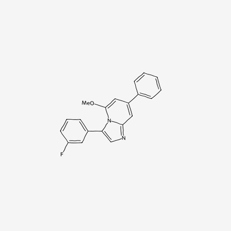 COc1cc(-c2ccccc2)cc2ncc(-c3cccc(F)c3)n12